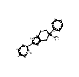 NC1(c2ccccc2)CCc2sc(-c3ccccn3)cc2C1